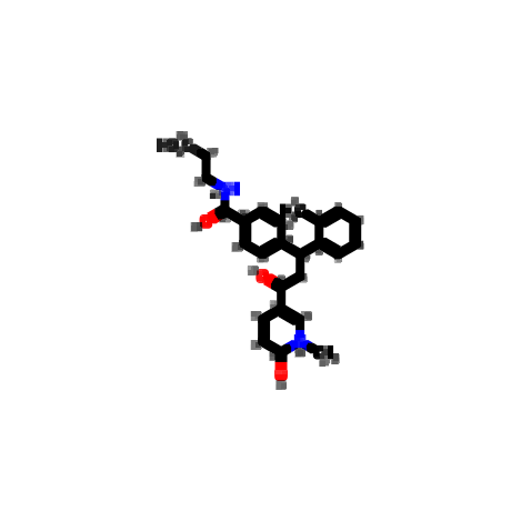 Cc1ccccc1C(CC(=O)c1ccc(=O)n(C)c1)c1ccc(C(=O)NCCC(=O)O)cc1